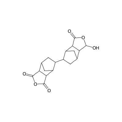 O=C1OC(=O)C2C3CC(CC3C3CC4CC3C3C(=O)OC(O)C43)C12